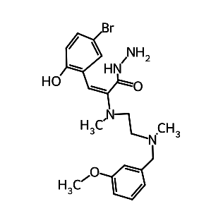 COc1cccc(CN(C)CCN(C)/C(=C/c2cc(Br)ccc2O)C(=O)NN)c1